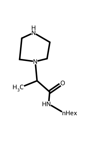 CCCCCCNC(=O)C(C)N1CCNCC1